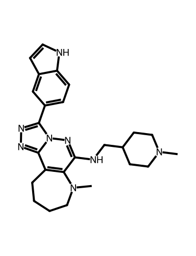 CN1CCC(CNc2nn3c(-c4ccc5[nH]ccc5c4)nnc3c3c2N(C)CCCC3)CC1